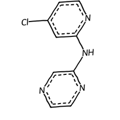 Clc1ccnc(Nc2cnccn2)c1